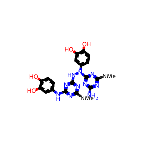 CNc1nc(Nc2ccc(O)c(O)c2)nc(NN(c2ccc(O)c(O)c2)c2nc(N)nc(NC)n2)n1